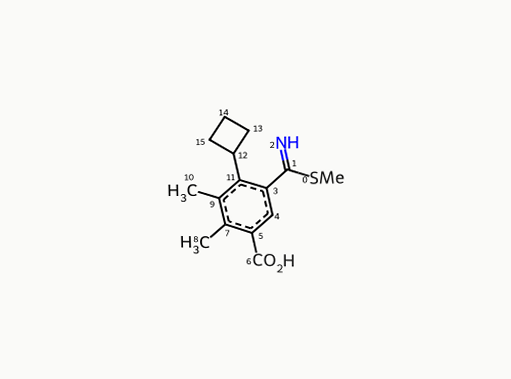 CSC(=N)c1cc(C(=O)O)c(C)c(C)c1C1CCC1